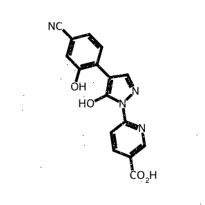 N#Cc1ccc(-c2cnn(-c3ccc(C(=O)O)cn3)c2O)c(O)c1